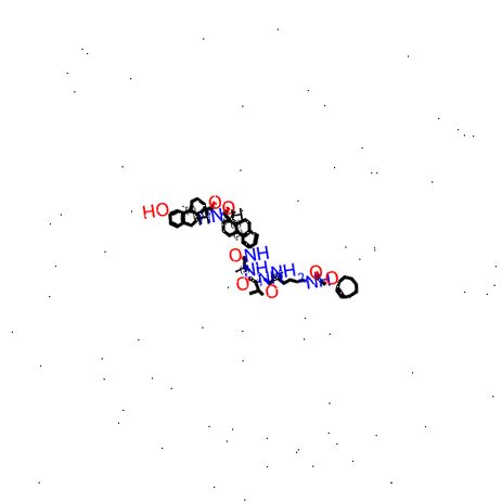 CC(C)C(NC(=O)[C@@H](N)CCCCNC(=O)COC1C#CCCCCC1)C(=O)N[C@@H](C)C(=O)Nc1ccc2c(c1)[C@@]1(C)CCC[C@](C)(C(=O)NC(=O)[C@@]3(C)CCC[C@]4(C)c5cc(O)ccc5CC[C@@H]34)[C@@H]1CC2